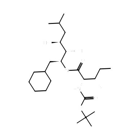 CC[C@H](C)[C@H](NC(=O)OC(C)(C)C)C(=O)N[C@@H](CC1CCCCC1)[C@@H](O)[C@@H](O)CC(C)C